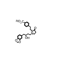 O=C(O)c1ccc(CCN2C(=O)CCN2CCC(O)Cc2ccc3c(c2)OCO3)cc1